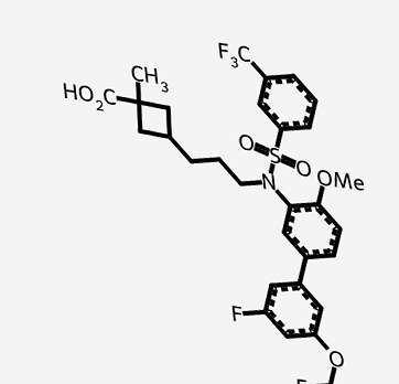 COc1ccc(-c2cc(F)cc(OC(F)F)c2)cc1N(CCCC1CC(C)(C(=O)O)C1)S(=O)(=O)c1cccc(C(F)(F)F)c1